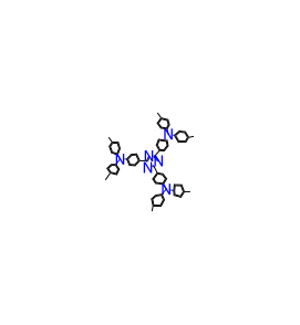 Cc1ccc(N(c2ccc(C)cc2)c2ccc(-c3nc(-c4ccc(N(c5ccc(C)cc5)c5ccc(C)cc5)cc4)nc(-c4ccc(N(c5ccc(C)cc5)c5ccc(C)cc5)cc4)n3)cc2)cc1